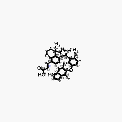 Cn1nc([C@@]2(C)CCOc3c(/C=C/C(=O)O)cccc32)nc1-c1cc(Oc2c(F)cc3[nH]ccc3c2F)ccc1F